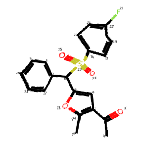 CC(=O)c1cc(C(c2ccccc2)S(=O)(=O)c2ccc(F)cc2)oc1C